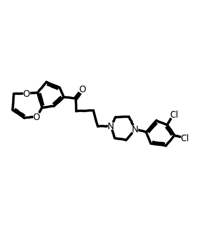 O=C(CCCN1CCN(c2ccc(Cl)c(Cl)c2)CC1)c1ccc2c(c1)OC=CCO2